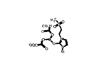 CCn1cc[n+](CCS(C)(=O)=O)c1OB(OC(=O)C(=O)[O-])OC(=O)C(=O)O